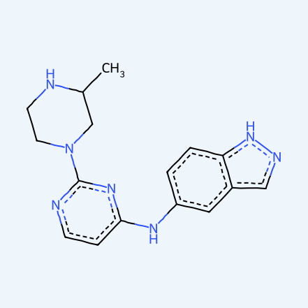 CC1CN(c2nccc(Nc3ccc4[nH]ncc4c3)n2)CCN1